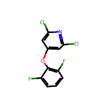 Fc1cccc(F)c1Oc1cc(Cl)nc(Cl)c1